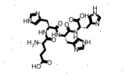 N[C@@H](CCC(=O)O)C(=O)N[C@@H](Cc1c[nH]cn1)C(=O)N[C@@H](Cc1c[nH]cn1)C(=O)N[C@@H](Cc1c[nH]cn1)C(=O)O